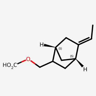 CC=C1C[C@@H]2C[C@H]1CC2COC(=O)O